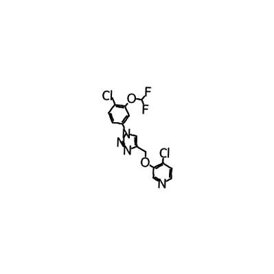 FC(F)Oc1cc(-n2cc(COc3cnccc3Cl)nn2)ccc1Cl